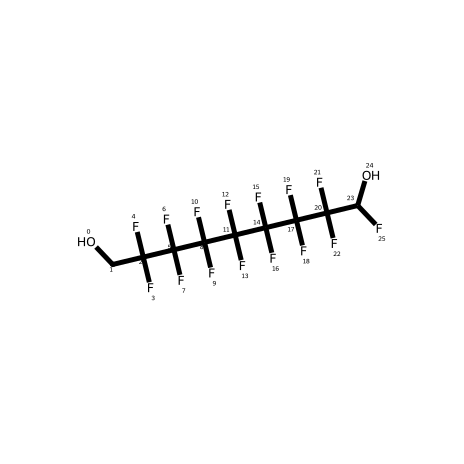 OCC(F)(F)C(F)(F)C(F)(F)C(F)(F)C(F)(F)C(F)(F)C(F)(F)C(O)F